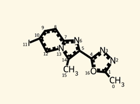 Cc1nnc(-c2nc3ccc(I)cn3c2C)o1